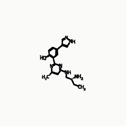 CC[C@@H](N)CNc1cc(C)nc(-c2cc(-c3cn[nH]c3)ccc2O)n1